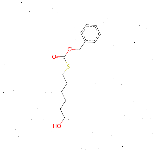 O=C(OCc1ccccc1)SCCCCCCO